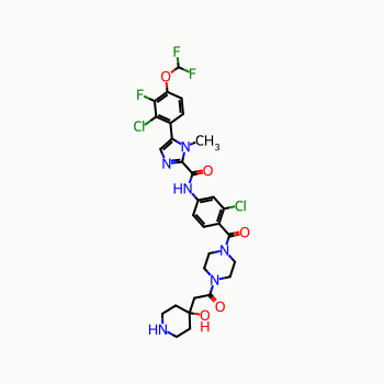 Cn1c(-c2ccc(OC(F)F)c(F)c2Cl)cnc1C(=O)Nc1ccc(C(=O)N2CCN(C(=O)CC3(O)CCNCC3)CC2)c(Cl)c1